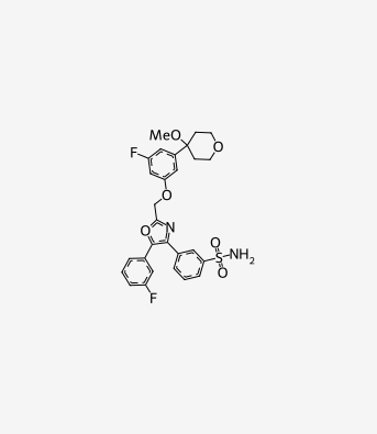 COC1(c2cc(F)cc(OCc3nc(-c4cccc(S(N)(=O)=O)c4)c(-c4cccc(F)c4)o3)c2)CCOCC1